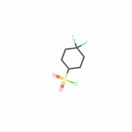 O=S(=O)(Cl)C1CCC(F)(F)CC1